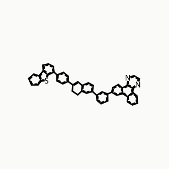 C1=C(c2ccc(-c3cccc4c3sc3ccccc34)cc2)CCc2cc(-c3cccc(-c4ccc5c(c4)c4ccccc4c4nccnc54)c3)ccc21